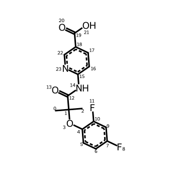 CC(C)(Oc1ccc(F)cc1F)C(=O)Nc1ccc(C(=O)O)cn1